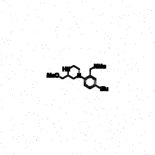 CNCc1cc(C(C)(C)C)ccc1N1CCNC(COC)C1